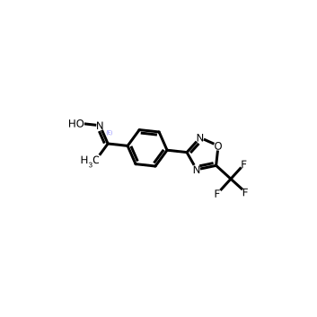 C/C(=N\O)c1ccc(-c2noc(C(F)(F)F)n2)cc1